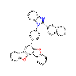 c1ccc2cc(-c3nc4ccccc4n3-c3ccc(-c4cc5c6ccccc6oc5c5c4oc4ccccc45)cc3)ccc2c1